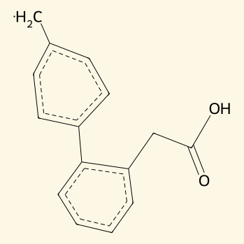 [CH2]c1ccc(-c2ccccc2CC(=O)O)cc1